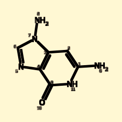 Nc1cc2c(ncn2N)c(=O)[nH]1